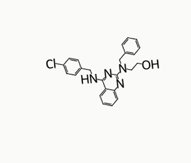 OCCN(Cc1ccccc1)c1nc(NCc2ccc(Cl)cc2)c2ccccc2n1